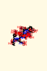 CC(C)C[C@H](NC(=O)[C@H](Cc1ccc(OP(=O)(O)O)cc1)NC(=O)[C@H](CCCCNP(=O)(O)O)NC(=O)[C@H](COP(=O)(O)O)NC(=O)[C@H](Cc1ccc(OP(=O)(O)O)cc1)NC(=O)[C@H](CC(=O)OP(=O)(O)O)NC(=O)[C@H](COP(=O)(O)O)NC(=O)[C@@H](NC(=O)[C@H](Cc1ccccc1)NC(=O)[C@@H](N)[C@@H](C)OP(=O)(O)O)[C@@H](C)OP(=O)(O)O)C(=O)O